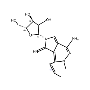 C/C=N\c1c2c(=N)n([C@@H]3O[C@H](CO)[C@@H](O)C3O)cc-2c(N)nn1C